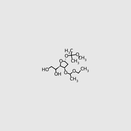 CCOC(C)O[C@@H]1C[C@@H](OC(C)(C)OC)O[C@@H]1C(O)CO